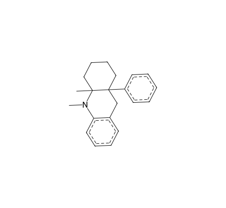 CN1c2ccccc2CC2(c3ccccc3)CCCCC12C